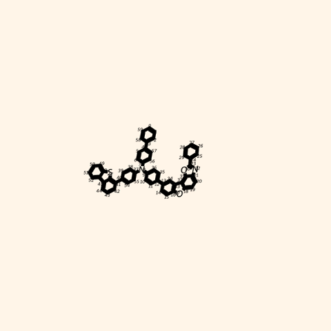 c1ccc(-c2ccc(N(c3ccc(-c4ccc5oc6ccc7nc(-c8ccccc8)oc7c6c5c4)cc3)c3ccc(-c4cccc5c4sc4ccccc45)cc3)cc2)cc1